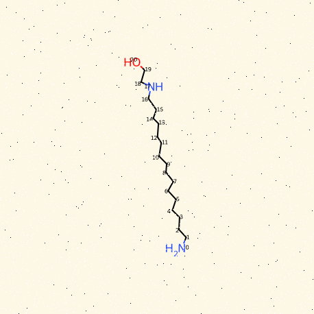 NCCCCCCCCCCCCCCCCNCCO